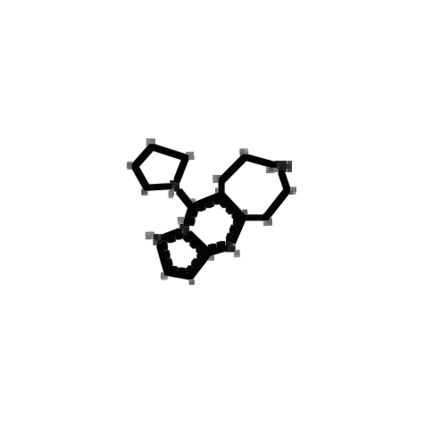 c1cc2nc3c(c(N4CCCC4)n2n1)CCNCC3